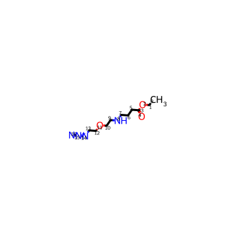 CCOC(=O)CCCNCCOCCN=[N+]=[N-]